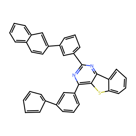 c1ccc(-c2cccc(-c3nc(-c4cccc(-c5ccc6ccccc6c5)c4)nc4c3sc3ccccc34)c2)cc1